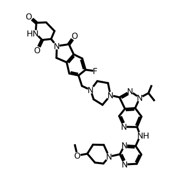 COC1CCN(c2nccc(Nc3cc4c(cn3)c(N3CCN(Cc5cc6c(cc5F)C(=O)N(C5CCC(=O)NC5=O)C6)CC3)nn4C(C)C)n2)CC1